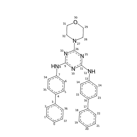 c1ccc(-c2ccc(Nc3nc(Nc4ccc(-c5ccccc5)cc4)nc(N4CCOCC4)n3)cc2)cc1